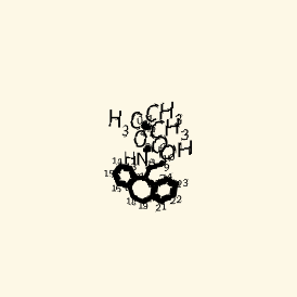 CC(C)(C)OC(=O)NC(CO)C1c2ccccc2CCc2ccccc21